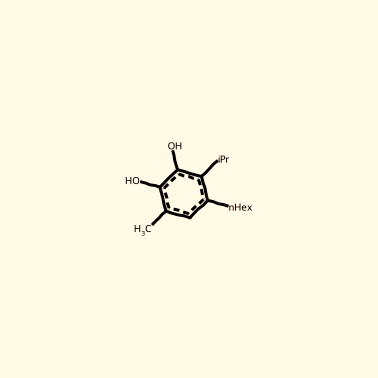 CCCCCCc1cc(C)c(O)c(O)c1C(C)C